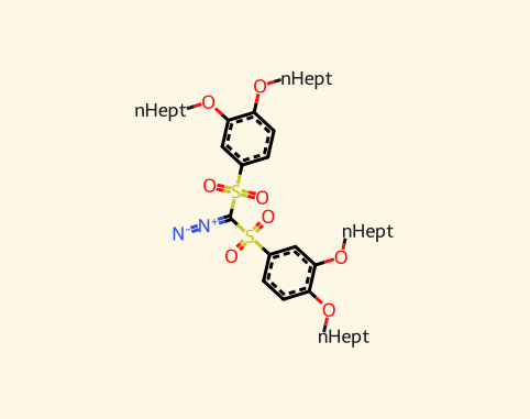 CCCCCCCOc1ccc(S(=O)(=O)C(=[N+]=[N-])S(=O)(=O)c2ccc(OCCCCCCC)c(OCCCCCCC)c2)cc1OCCCCCCC